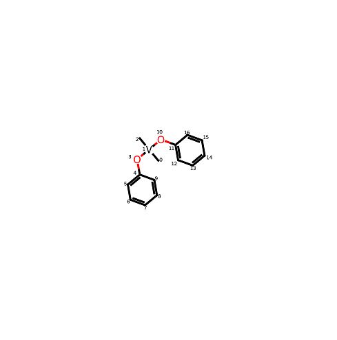 [CH3][V]([CH3])([O]c1ccccc1)[O]c1ccccc1